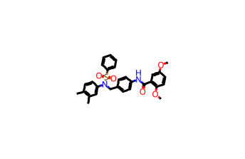 COc1ccc(OC)c(C(=O)Nc2ccc(CN(c3ccc(C)c(C)c3)S(=O)(=O)c3ccccc3)cc2)c1